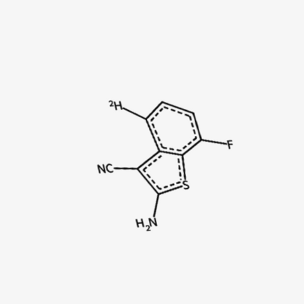 [2H]c1ccc(F)c2sc(N)c(C#N)c12